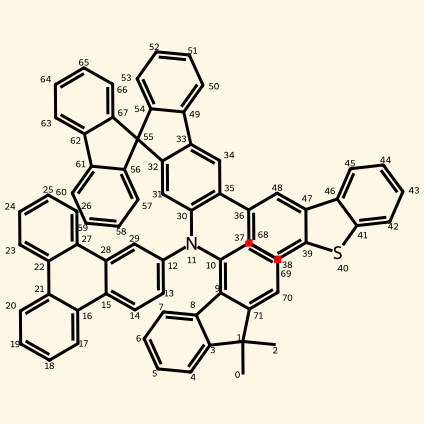 CC1(C)c2ccccc2-c2c(N(c3ccc4c5ccccc5c5ccccc5c4c3)c3cc4c(cc3-c3ccc5sc6ccccc6c5c3)-c3ccccc3C43c4ccccc4-c4ccccc43)cccc21